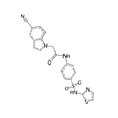 N#Cc1ccc2c(ccn2CC(=O)Nc2ccc(S(=O)(=O)Nc3nccs3)cc2)c1